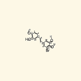 COc1ccc(C=Cc2cc(Br)c(OC)c(OC)c2)cc1O